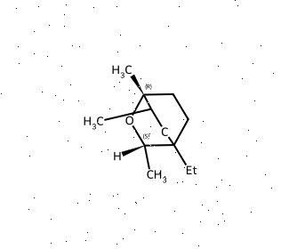 CCC12CC[C@@](C)(O[C@H]1C)C(C)C2